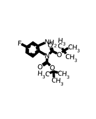 CC(C)(C)OC(=O)N(C(=O)OC(C)(C)C)c1ccc(F)cc1N